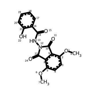 COc1ccc(OC)c2c1C(=O)N(NC(=O)c1ccccc1O)C2=O